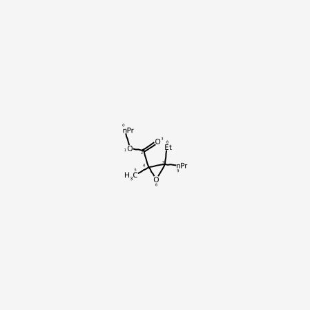 CCCOC(=O)C1(C)OC1(CC)CCC